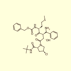 CSCC[C@H](NC(=O)OCc1ccccc1)C(=O)[C@@H](C(N)c1ccccc1)[C@H](O)C(=O)N1C[C@@H](Cl)C[C@H]1C(=O)NC(C)(C)C